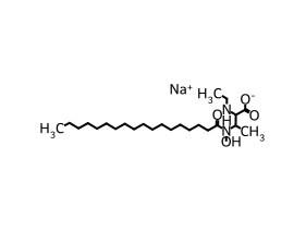 CCCCCCCCCCCCCCCCCC(=O)N(O)C(C)C(NCC)C(=O)[O-].[Na+]